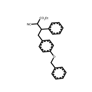 CCOC(=O)C(C#N)C(Cc1ccc(OCc2ccccc2)cc1)c1ccccc1